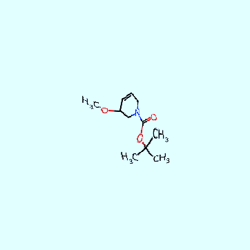 COC1C=CCN(C(=O)OC(C)(C)C)C1